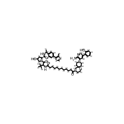 Cc1ncsc1-c1ccc(C(C)NC(=O)[C@@H]2C[C@@H](O)CN2C(=O)C(NC(=O)CCCCCCCCCCC(=O)N2CCOC3(CCN(c4cc(-c5ccccc5O)nnc4N)CC3)C2)C(C)(C)C)cc1